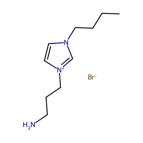 CCCCn1cc[n+](CCCN)c1.[Br-]